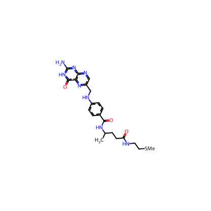 CSCCNC(=O)CCC(C)NC(=O)c1ccc(NCc2cnc3nc(N)[nH]c(=O)c3n2)cc1